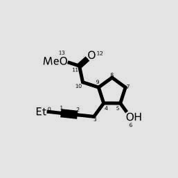 CCC#CCC1C(O)CCC1CC(=O)OC